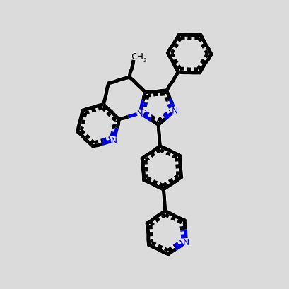 CC1Cc2cccnc2-n2c(-c3ccc(-c4cccnc4)cc3)nc(-c3ccccc3)c21